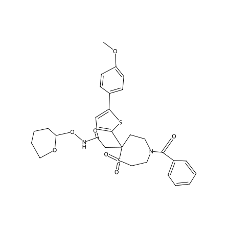 COc1ccc(-c2ccc(C3(CC(=O)NOC4CCCCO4)CCN(C(=O)c4ccccc4)CCS3(=O)=O)s2)cc1